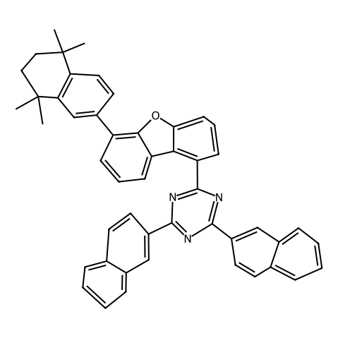 CC1(C)CCC(C)(C)c2cc(-c3cccc4c3oc3cccc(-c5nc(-c6ccc7ccccc7c6)nc(-c6ccc7ccccc7c6)n5)c34)ccc21